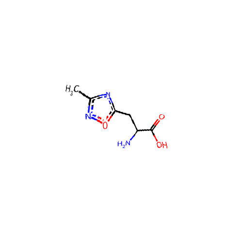 Cc1noc(CC(N)C(=O)O)n1